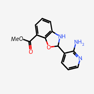 COC(=O)c1cccc2c1OC(c1cccnc1N)N2